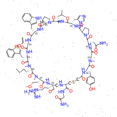 C=C(O)[C@@H]1NC(=O)[C@H](Cc2c[nH]c3ccccc23)NC(=O)[C@H]2CCCN2C(=O)[C@H](CC(C)C)NC(=O)[C@H](Cc2cnc[nH]2)NC(=O)C2CCCN2C(=O)[C@H](CC(N)=O)NC(=O)[C@H](C)N(C)C(=O)[C@H](Cc2ccc(O)cc2)NC(=O)CSCC(C(=O)NCC(N)=O)NC[C@](C=O)(CCCNC(=N)N)NC(=O)[C@H](CCOC)N(C)C(=O)[C@H](CCCC)N(C)C(=O)[C@H](Cc2csc3ccccc23)NC1=O